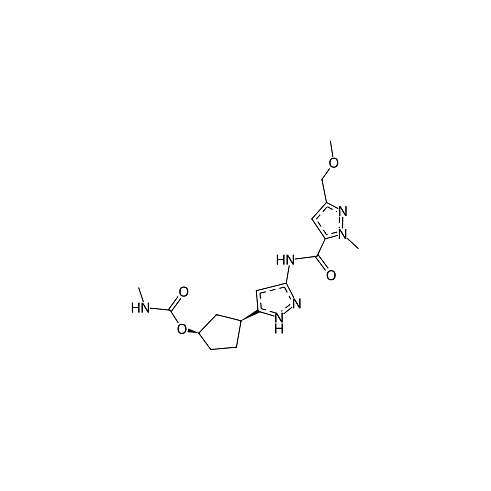 CNC(=O)O[C@@H]1CC[C@H](c2cc(NC(=O)c3cc(COC)nn3C)n[nH]2)C1